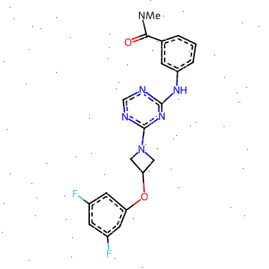 CNC(=O)c1cccc(Nc2ncnc(N3CC(Oc4cc(F)cc(F)c4)C3)n2)c1